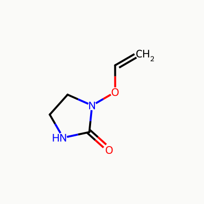 C=CON1CCNC1=O